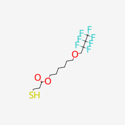 O=C(CCS)OCCCCCCOCC(F)(F)C(F)(F)C(F)(F)F